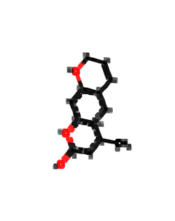 Cc1cc(=O)oc2cc3c(cc12)C=CCO3